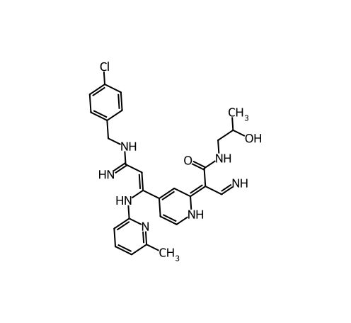 Cc1cccc(N/C(=C\C(=N)NCc2ccc(Cl)cc2)C2=C/C(=C(/C=N)C(=O)NCC(C)O)NC=C2)n1